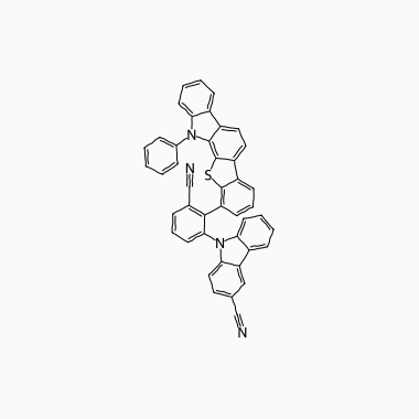 N#Cc1ccc2c(c1)c1ccccc1n2-c1cccc(C#N)c1-c1cccc2c1sc1c2ccc2c3ccccc3n(-c3ccccc3)c21